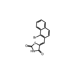 O=C1NC(=O)C(=Cc2ccc3ccccc3c2Br)S1